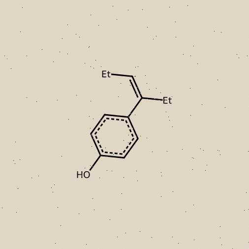 CC/[C]=C(/CC)c1ccc(O)cc1